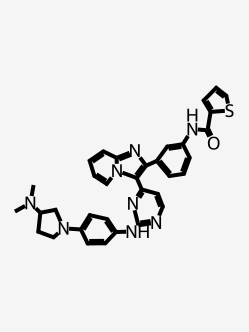 CN(C)C1CCN(c2ccc(Nc3nccc(-c4c(-c5cccc(NC(=O)c6cccs6)c5)nc5ccccn45)n3)cc2)C1